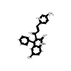 Cc1ccc(C=CC(=O)c2c(-c3ccccc3)c3cc(Cl)ccc3[nH]c2=O)nc1